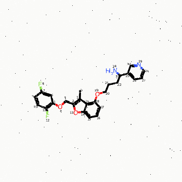 Cc1c(COc2cc(F)ccc2F)oc2cccc(OCCCC(N)c3cccnc3)c12